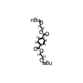 CCCCOCCOC(=O)c1ccc(C(=O)OCCOCCCC)cc1